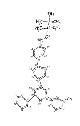 CC(C)(O)C(C)(C)OBc1ccc(-c2ccc(-c3nc(-c4ccccc4)nc(-c4cccc(C#N)c4)n3)cn2)cc1